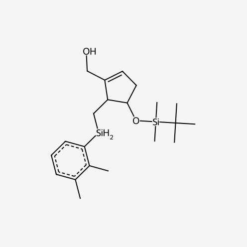 Cc1cccc([SiH2]CC2C(CO)=CCC2O[Si](C)(C)C(C)(C)C)c1C